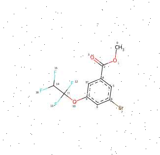 COC(=O)c1cc(Br)cc(OC(F)(F)C(F)F)c1